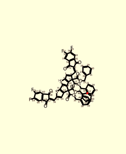 O=C1C(=CC2=Cc3sc4c(c3C2(C(=O)OCc2ccccc2)C(=O)OCc2ccccc2)C(C(=O)OCc2ccccc2)(C(=O)OCc2ccccc2)c2cc(C=C3C(=O)c5cc(F)c(F)cc5C3=O)sc2-4)C(=O)c2cc(F)c(F)cc21